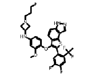 COc1cc(NC2CN(CCCF)C2)ccc1Oc1c(-c2cc(F)c(F)cc2C(C)(F)F)sc2c1ccc1[nH]ncc12